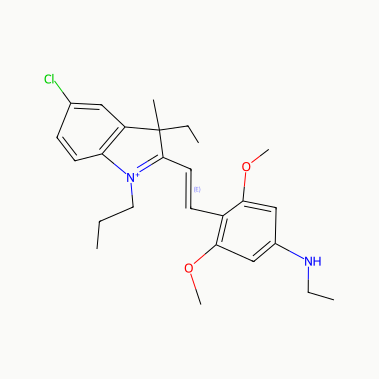 CCC[N+]1=C(/C=C/c2c(OC)cc(NCC)cc2OC)C(C)(CC)c2cc(Cl)ccc21